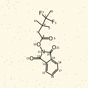 CC(F)(F)C(C)(C)CC(=O)ON1C(=O)c2ccccc2C1=O